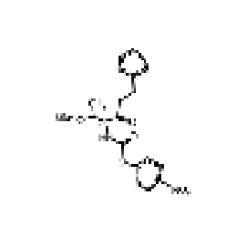 CC(OC(C)(C)C)[C@H](NC(=O)Oc1ccc([N+](=O)[O-])cc1)C(=O)CCc1ccccc1